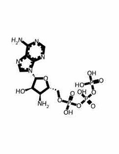 Nc1ncnc2c1ncn2[C@@H]1O[C@H](COP(=O)(O)OP(=O)(O)OP(=O)(O)O)[C@@H](N)[C@H]1O